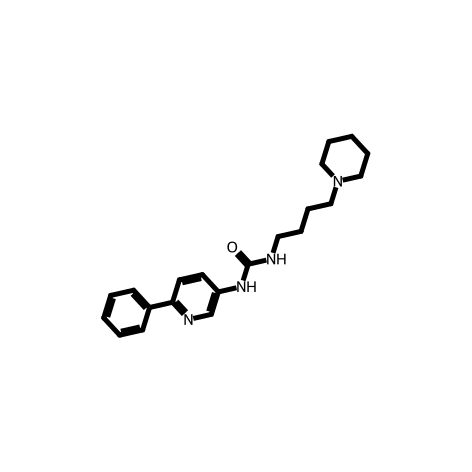 O=C(NCCCCN1CCCCC1)Nc1ccc(-c2ccccc2)nc1